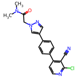 CN(C)C(=O)Cn1cc(-c2ccc(-c3ccnc(Cl)c3C#N)cc2)cn1